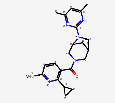 COc1ccc(C(=O)N2CC3CC(C2)N(c2nc(C)cc(C)n2)C3)c(C2CC2)n1